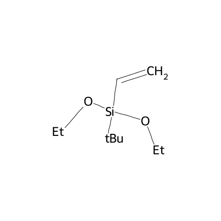 C=C[Si](OCC)(OCC)C(C)(C)C